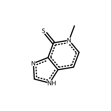 Cn1ccc2[nH]cnc2c1=S